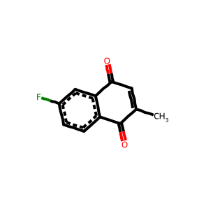 CC1=CC(=O)c2cc(F)ccc2C1=O